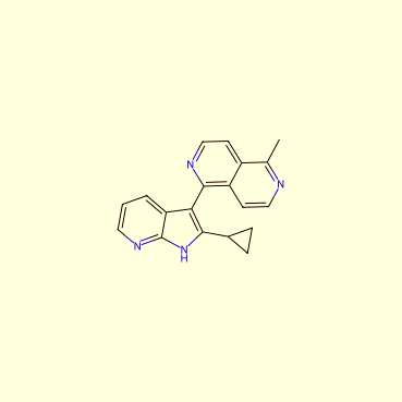 Cc1nccc2c(-c3c(C4CC4)[nH]c4ncccc34)nccc12